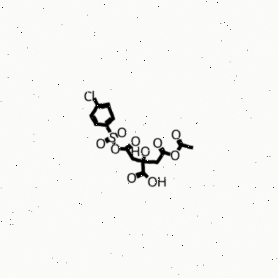 CC(=O)OC(=O)CC(O)(CC(=O)OS(=O)(=O)c1ccc(Cl)cc1)C(=O)O